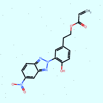 C=CC(=O)OCCc1ccc(O)c(-n2nc3ccc([N+](=O)[O-])cc3n2)c1